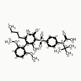 CCCCc1[nH]c(=O)c(S(=O)(=O)c2ccc(N(C(=O)O)C(C)(C)C)cc2)c(O)c1-c1c(OC)cccc1OC